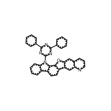 c1ccc(-c2nc(-c3ccccc3)nc(-n3c4ccccc4c4ccc5c6cc7ncccc7cc6oc5c43)n2)cc1